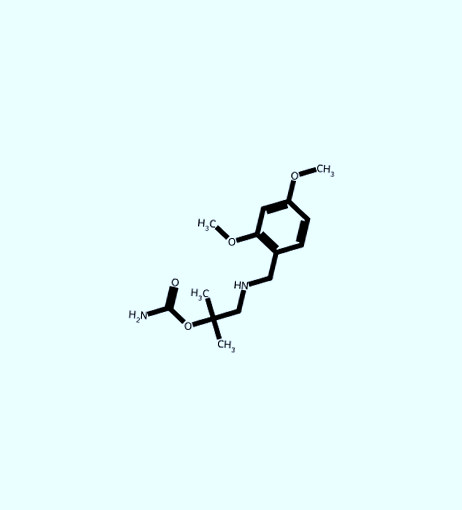 COc1ccc(CNCC(C)(C)OC(N)=O)c(OC)c1